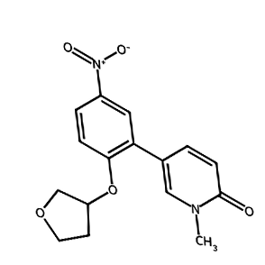 Cn1cc(-c2cc([N+](=O)[O-])ccc2OC2CCOC2)ccc1=O